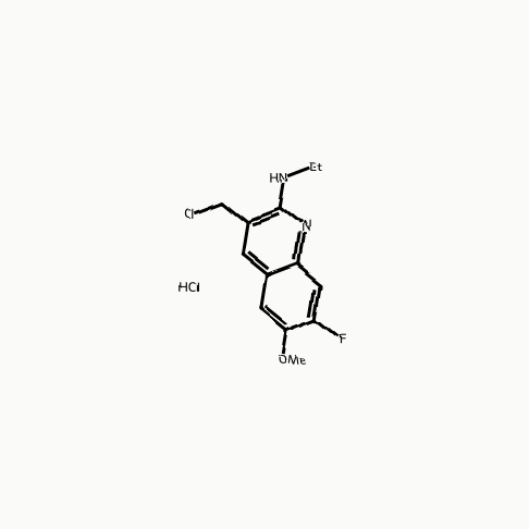 CCNc1nc2cc(F)c(OC)cc2cc1CCl.Cl